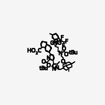 Cc1ccc(C(F)(OS(=O)(=O)CCCN(CCOC23CC4(C)CC(C)(CC(Cn5ncc(-c6ccc(-c7ccc8cccc(C(=O)O)c8c7)nc6C(=O)OC(C)(C)C)c5C)(C4)C2)C3)C(=O)OC(C)(C)C)C(F)F)cc1